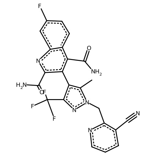 Cc1c(-c2c(C(N)=O)nc3cc(F)ccc3c2C(N)=O)c(C(F)(F)F)nn1Cc1ncccc1C#N